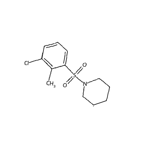 Cc1c(Cl)cccc1S(=O)(=O)N1C[CH]CCC1